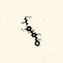 CCC(CC)(c1ccc(/C=C/C2(O)CCCCC2)c(C)c1)c1ccc(OC[C@@H](O)CCC(=O)O)c(C)c1